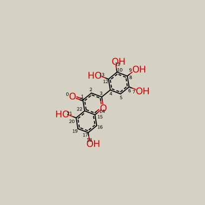 O=c1cc(-c2cc(O)c(O)c(O)c2O)oc2cc(O)cc(O)c12